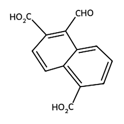 O=Cc1c(C(=O)O)ccc2c(C(=O)O)cccc12